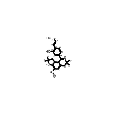 CCOc1cc2c(c3c1OC(C)(C)C3)C(c1ccc(/C=C/C(=O)O)c(O)c1)=NC(C)(C)C2